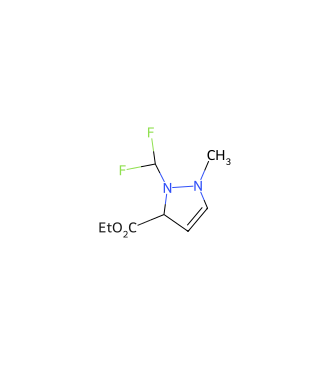 CCOC(=O)C1C=CN(C)N1C(F)F